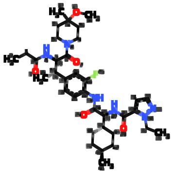 CCC(=O)N[C@@H](C(=O)N1CCC(C)(OC)CC1)[C@@H](C)c1ccc(NC(=O)[C@@H](NC(=O)c2ccnn2CC)[C@H]2CC[C@H](C)CC2)c(F)c1